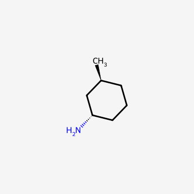 C[C@H]1CCC[C@H](N)C1